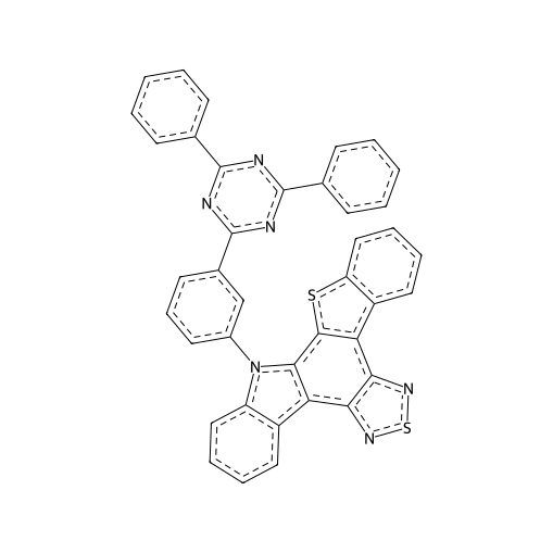 c1ccc(-c2nc(-c3ccccc3)nc(-c3cccc(-n4c5ccccc5c5c6nsnc6c6c7ccccc7sc6c54)c3)n2)cc1